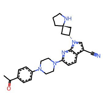 CC(=O)c1ccc(N2CCN(c3ccc4c(C#N)cn([C@H]5C[C@]6(CCCN6)C5)c4n3)CC2)cc1